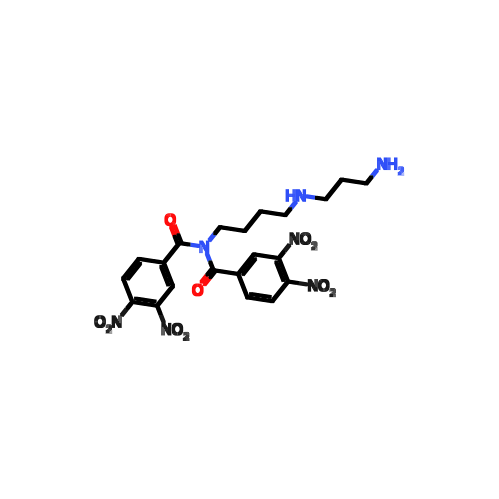 NCCCNCCCCN(C(=O)c1ccc([N+](=O)[O-])c([N+](=O)[O-])c1)C(=O)c1ccc([N+](=O)[O-])c([N+](=O)[O-])c1